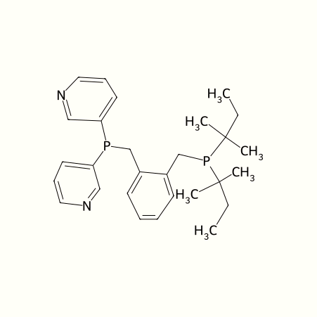 CCC(C)(C)P(Cc1ccccc1CP(c1cccnc1)c1cccnc1)C(C)(C)CC